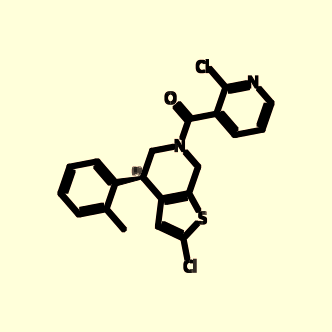 Cc1ccccc1[C@H]1CN(C(=O)c2cccnc2Cl)Cc2sc(Cl)cc21